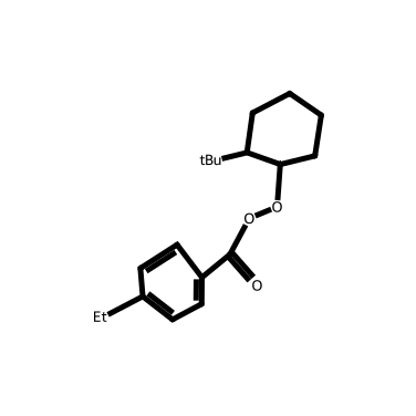 CCc1ccc(C(=O)OO[C]2CCCCC2C(C)(C)C)cc1